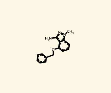 Cn1nc(N)c2c(OCc3ccccc3)cccc21